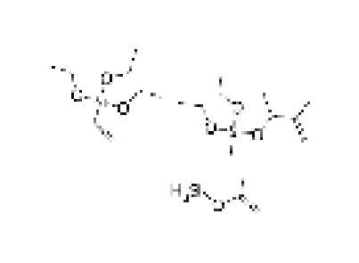 C=C(C)C(C)O[Si](C)(OCC)OCC.C=C(C)O[SiH3].C=C[Si](OCC)(OCC)OCC